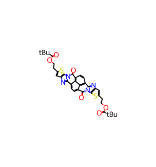 CC(C)(C)C(=O)OCCc1cc2nc3c4ccc5c(=O)n6c(nc7cc(CCOC(=O)C(C)(C)C)sc76)c6ccc(c(=O)n3c2s1)c4c56